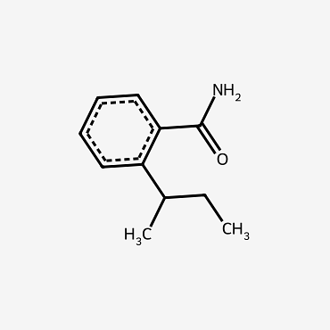 CCC(C)c1ccccc1C(N)=O